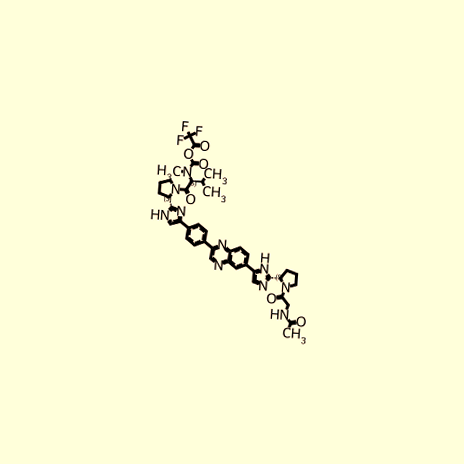 CC(=O)NCC(=O)N1CCC[C@H]1c1ncc(-c2ccc3nc(-c4ccc(-c5c[nH]c([C@@H]6CCCN6C(=O)[C@H](C(C)C)N(C)C(=O)OC(=O)C(F)(F)F)n5)cc4)cnc3c2)[nH]1